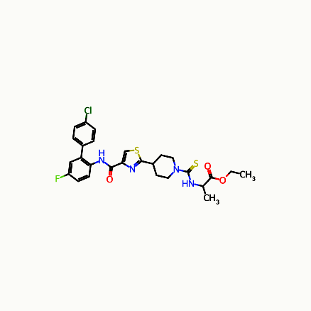 CCOC(=O)C(C)NC(=S)N1CCC(c2nc(C(=O)Nc3ccc(F)cc3-c3ccc(Cl)cc3)cs2)CC1